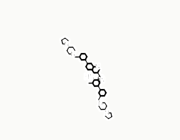 Cc1cc(-c2cccc(CN3CCC(N4CCCC4)CC3)c2)cc(Cl)c1Nc1c(C#N)cnc2cc(-c3cccc(CN4CCC(N5CCCC5)CC4)c3)ccc12